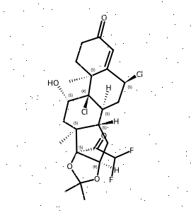 CC1(C)O[C@@H]2C[C@H]3[C@@H]4C[C@H](Cl)C5=CC(=O)CC[C@]5(C)[C@@]4(Cl)[C@@H](O)C[C@]3(C)[C@]2(C(=O)C(F)F)O1